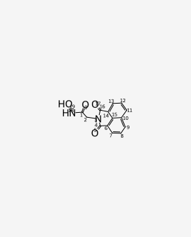 O=C(CN1C(=O)c2cccc3cccc(c23)C1=O)NO